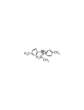 C[SiH2][SiH]([SiH2]c1ccc(C)cc1)c1ccc(C)cc1